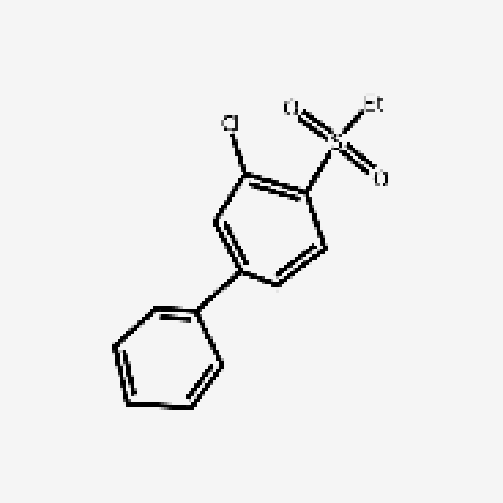 CCS(=O)(=O)c1c[c]c(-c2ccccc2)cc1Cl